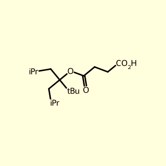 CC(C)CC(CC(C)C)(OC(=O)CCC(=O)O)C(C)(C)C